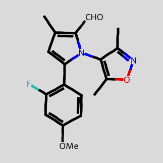 COc1ccc(-c2cc(C)c(C=O)n2-c2c(C)noc2C)c(F)c1